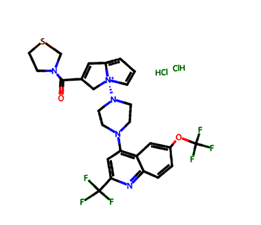 Cl.Cl.O=C(C1=CC2=CC=C[N@@+]2(N2CCN(c3cc(C(F)(F)F)nc4ccc(OC(F)(F)F)cc34)CC2)C1)N1CCSC1